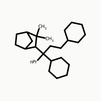 CCCC(CCC1CCCCC1)(C1CCCCC1)C1C2CCC(C2)C1(C)C